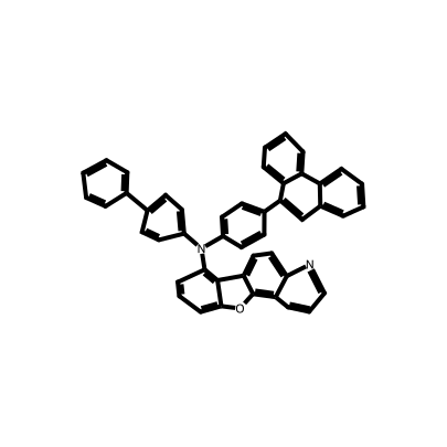 c1ccc(-c2ccc(N(c3ccc(-c4cc5ccccc5c5ccccc45)cc3)c3cccc4oc5c6cccnc6ccc5c34)cc2)cc1